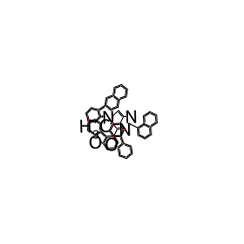 CC1C/C=C(c2cc3c(cc2-n2c4ccccc4c4cc5ccccc5cc42)oc2ccccc23)/N=C(c2cccc3ccccc23)\N=C/1c1cccc2oc3ccccc3c12